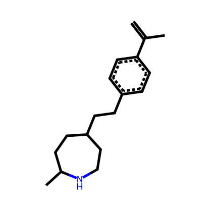 C=C(C)c1ccc(CCC2CCNC(C)CC2)cc1